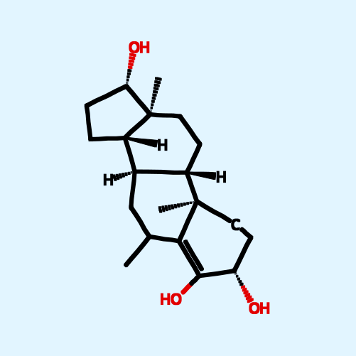 CC1C[C@H]2[C@@H]3CC[C@H](O)[C@@]3(C)CC[C@@H]2[C@@]2(C)CC[C@H](O)C(O)=C12